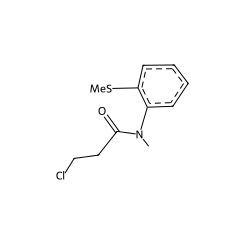 CSc1ccccc1N(C)C(=O)CCCl